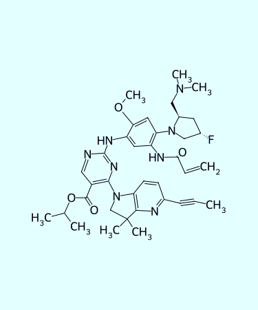 C=CC(=O)Nc1cc(Nc2ncc(C(=O)OC(C)C)c(N3CC(C)(C)c4nc(C#CC)ccc43)n2)c(OC)cc1N1C[C@@H](F)C[C@@H]1CN(C)C